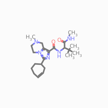 CNC(=O)C(NC(=O)c1nc(C2CC=CCCC2)n2c1CN(C)CC2)C(C)(C)C